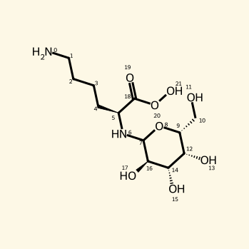 NCCCC[C@H](NC1O[C@H](CO)[C@H](O)[C@H](O)[C@H]1O)C(=O)OO